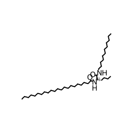 CCCCCCCCCCCCCCCCCCCCCC(=O)N[C@@H](CCCC)C(=O)NCCCCCCCCCCCC